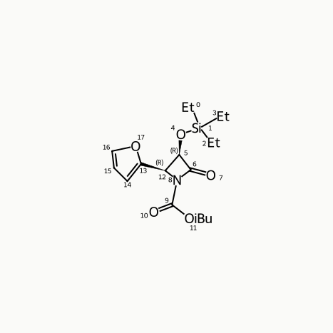 CC[Si](CC)(CC)O[C@H]1C(=O)N(C(=O)OCC(C)C)[C@H]1c1ccco1